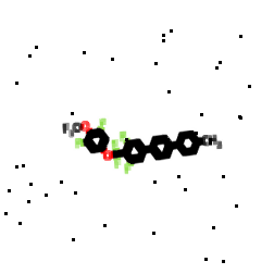 CC1CCC(c2ccc(-c3cc(F)c(C(F)(F)Oc4cc(F)c(OC(F)(F)F)c(F)c4)c(F)c3)cc2)CC1